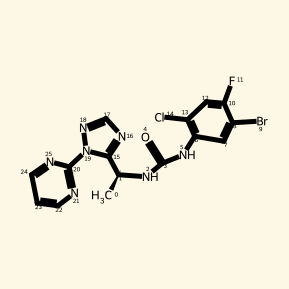 C[C@H](NC(=O)Nc1cc(Br)c(F)cc1Cl)c1ncnn1-c1ncccn1